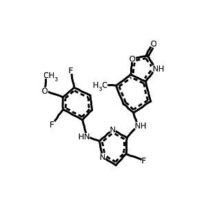 COc1c(F)ccc(Nc2ncc(F)c(Nc3cc(C)c4oc(=O)[nH]c4c3)n2)c1F